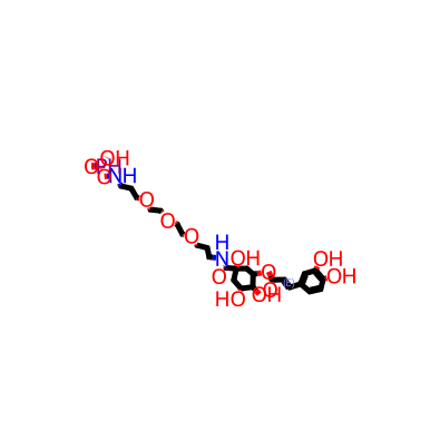 O=C(/C=C/c1ccc(O)c(O)c1)OC1CC(O)(C(=O)NCCCOCCOCCOCCCNO[PH](=O)O)CC(O)C1O